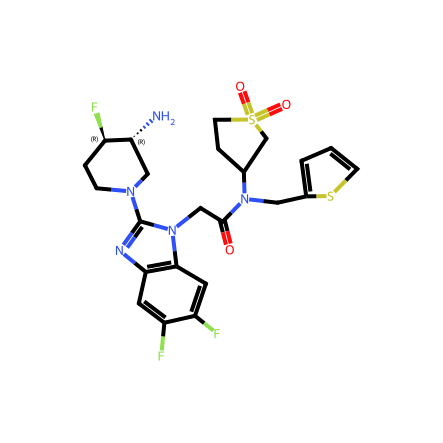 N[C@@H]1CN(c2nc3cc(F)c(F)cc3n2CC(=O)N(Cc2cccs2)C2CCS(=O)(=O)C2)CC[C@H]1F